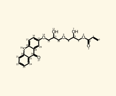 C=CC(=O)OCC(O)COCC(O)COc1ccc2sc3ccccc3c(=O)c2c1